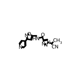 CC(C#N)n1cc(C(=O)NCc2cc(-c3ccncc3)no2)nn1